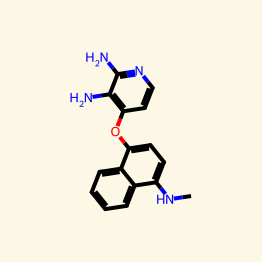 CNc1ccc(Oc2ccnc(N)c2N)c2ccccc12